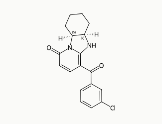 O=C(c1cccc(Cl)c1)c1ccc(=O)n2c1N[C@@H]1CCCC[C@@H]12